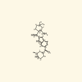 C[C@H]1CN(C(=O)c2ccc3cc(C(=N)C4=C(N)CC(C)(C)CC4)[nH]c3c2)CCN1